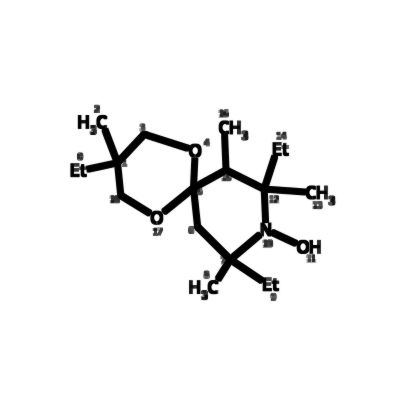 CCC1(C)COC2(CC(C)(CC)N(O)C(C)(CC)C2C)OC1